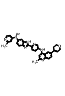 CC(=O)N(c1ccnc(C)c1)c1ccc2nc(-c3ccc(Nc4cc(C)nc5ccc(C6=CCOCC6)cc45)cn3)[nH]c2c1